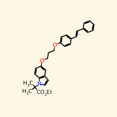 CCOC(=O)C(C)(C)n1ccc2cc(OCCCOc3ccc(/C=C/c4ccccc4)cc3)ccc21